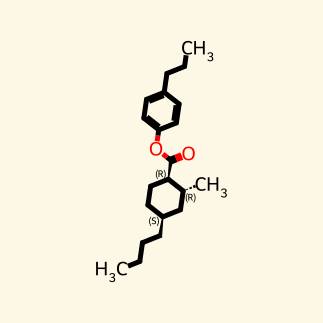 CCCC[C@H]1CC[C@@H](C(=O)Oc2ccc(CCC)cc2)[C@H](C)C1